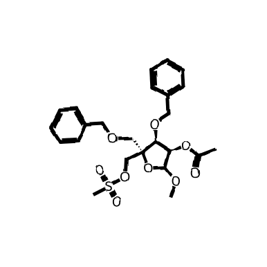 COC1O[C@@](COCc2ccccc2)(COS(C)(=O)=O)[C@@H](OCc2ccccc2)[C@H]1OC(C)=O